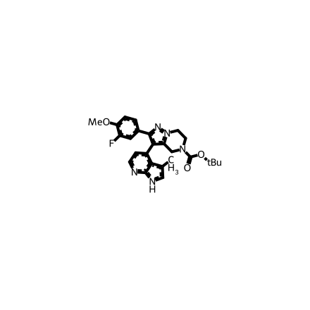 COc1ccc(-c2nn3c(c2-c2ccnc4[nH]cc(C)c24)CN(C(=O)OC(C)(C)C)CC3)cc1F